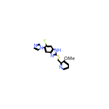 COc1cccnc1CSc1nc2cc(-n3ccnc3)c(F)cc2[nH]1